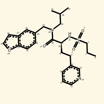 CCCS(=O)(=O)N[C@@H](CCc1cccnc1)C(=O)N(Cc1ccc2occc2c1)CC(C)C